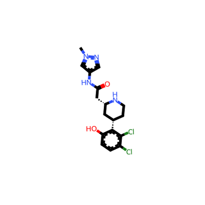 Cn1cc(NC(=O)C[C@H]2C[C@@H](c3c(O)ccc(Cl)c3Cl)CCN2)cn1